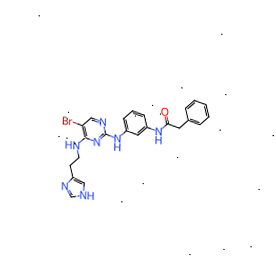 O=C(Cc1ccccc1)Nc1cccc(Nc2ncc(Br)c(NCCc3c[nH]cn3)n2)c1